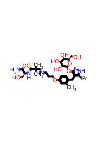 Cc1cc(OCCCNCC(C)(C)C(=O)N[C@@H](CO)C(N)=O)ccc1Cc1c(O[C@@H]2O[C@H](CO)[C@@H](O)[C@H](O)[C@H]2O)n[nH]c1C(C)C